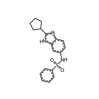 O=S(=O)(Nc1ccc2nc(C3CCCC3)[nH]c2c1)c1ccccc1